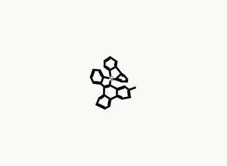 Cc1ccc2c(c1)c1c(c3ccccc32)-c2ccccc2[Si]12c1ccccc1-c1ccccc12